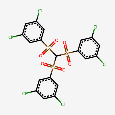 O=S(=O)(c1cc(Cl)cc(Cl)c1)C(S(=O)(=O)c1cc(Cl)cc(Cl)c1)S(=O)(=O)c1cc(Cl)cc(Cl)c1